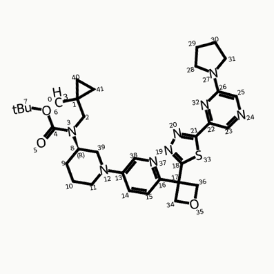 CC1(CN(C(=O)OC(C)(C)C)[C@@H]2CCCN(c3ccc(C4(c5nnc(-c6cncc(N7CCCC7)n6)s5)COC4)nc3)C2)CC1